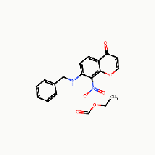 CCOC=O.O=c1ccoc2c([N+](=O)[O-])c(NCc3ccccc3)ccc12